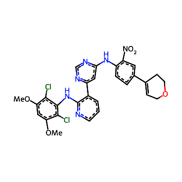 COc1cc(OC)c(Cl)c(Nc2ncccc2-c2cc(Nc3ccc(C4=CCOCC4)cc3[N+](=O)[O-])ncn2)c1Cl